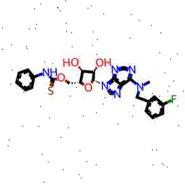 CN(Cc1cccc(F)c1)c1ncnc2c1ncn2[C@@H]1O[C@H](COC(=S)Nc2ccccc2)[C@@H](O)[C@H]1O